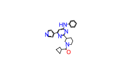 O=C(C1CCC1)N1CCCC(c2nc(Nc3ccccc3)cc(-c3ccncc3)n2)C1